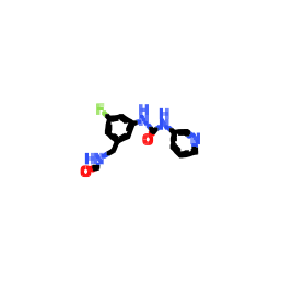 O=CNCc1cc(F)cc(NC(=O)Nc2cccnc2)c1